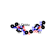 CCC(=O)N[C@H]1CN(C(=O)Nc2ccc(Oc3ccc(NC(=O)N4CC[C@H]5CC[C@@H](C(=O)NC(c6ccccc6)c6ccccc6)N5C(=O)[C@@H](NC(=O)[C@H](C)NC)C4)cc3)cc2)CC[C@H]2CCC(C(=O)NC(c3ccccc3)c3ccccc3)N2C1=O